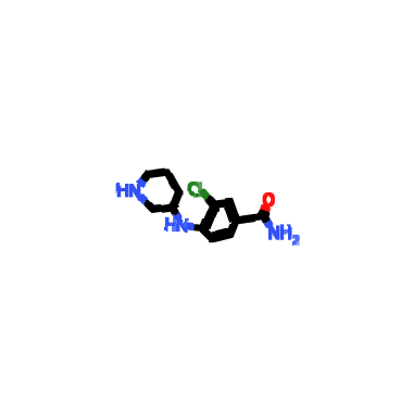 NC(=O)c1ccc(NC2CCCNC2)c(Cl)c1